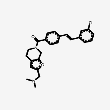 CN(C)Cc1cc2c(o1)CN(C(=O)c1ccc(C=Cc3cccc(Cl)c3)cc1)CC2